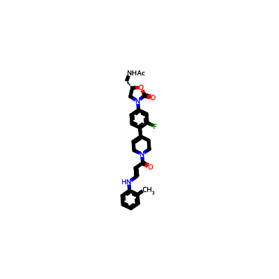 CC(=O)NC[C@H]1CN(c2ccc(C3=CCN(C(=O)C=CNc4ccccc4C)CC3)c(F)c2)C(=O)O1